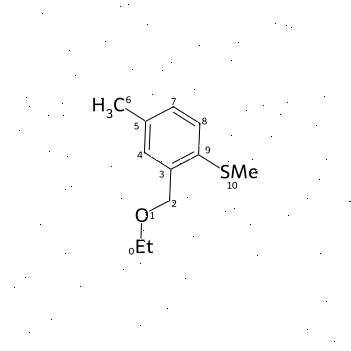 CCOCc1cc(C)ccc1SC